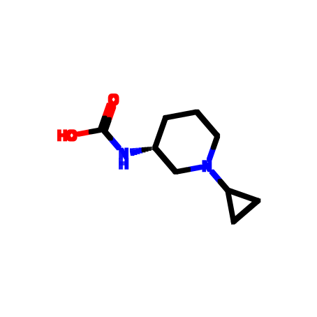 O=C(O)N[C@@H]1CCCN(C2CC2)C1